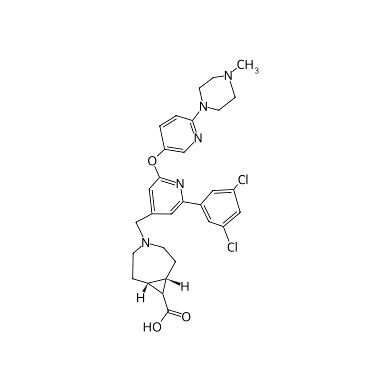 CN1CCN(c2ccc(Oc3cc(CN4CC[C@@H]5C(C(=O)O)[C@@H]5CC4)cc(-c4cc(Cl)cc(Cl)c4)n3)cn2)CC1